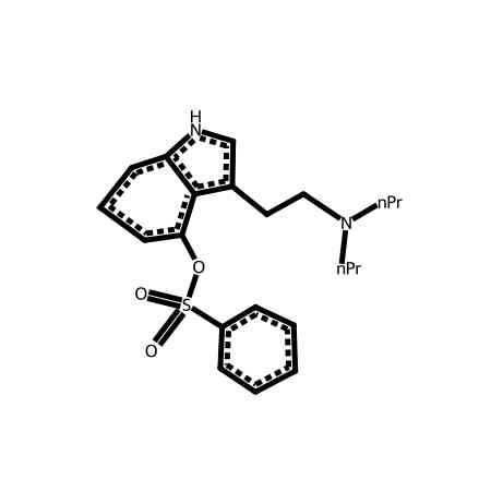 CCCN(CCC)CCc1c[nH]c2cccc(OS(=O)(=O)c3ccccc3)c12